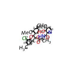 COc1cc(C)ccc1[C@@H](Oc1ccc(C)cc1Cl)[C@H](C)OC(=O)[C@H](C)NC(=O)c1nccc(OC)c1O